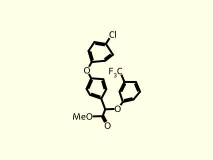 COC(=O)C(Oc1cccc(C(F)(F)F)c1)c1ccc(Oc2ccc(Cl)cc2)cc1